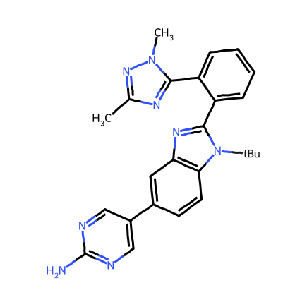 Cc1nc(-c2ccccc2-c2nc3cc(-c4cnc(N)nc4)ccc3n2C(C)(C)C)n(C)n1